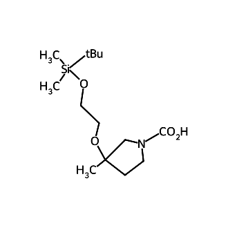 CC1(OCCO[Si](C)(C)C(C)(C)C)CCN(C(=O)O)C1